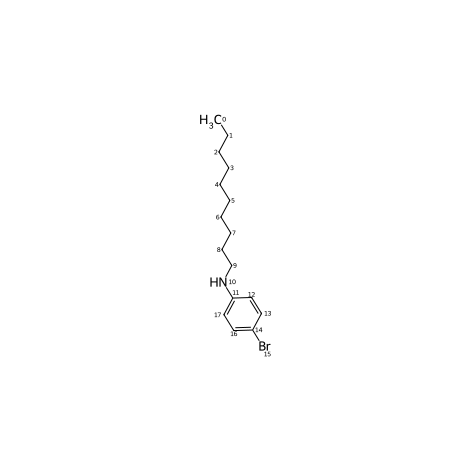 CCCCCCCCCCNc1ccc(Br)cc1